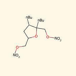 CCCCC1CC(CO[N+](=O)[O-])OC1(CCCC)CO[N+](=O)[O-]